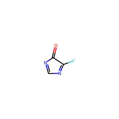 O=C1N=CN=C1F